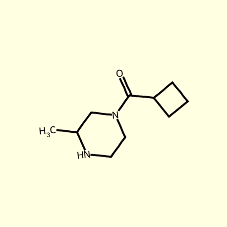 CC1CN(C(=O)C2CCC2)CCN1